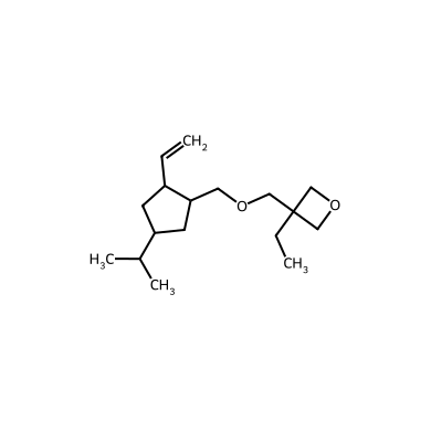 C=CC1CC(C(C)C)CC1COCC1(CC)COC1